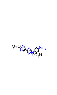 COc1ncc(-c2cnc(N(C(=O)O)[C@H]3CC[C@H](N)CC3)cn2)cn1